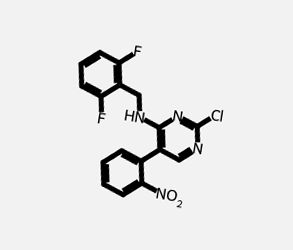 O=[N+]([O-])c1ccccc1-c1cnc(Cl)nc1NCc1c(F)cccc1F